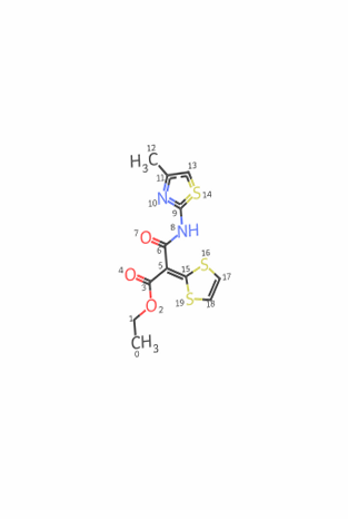 CCOC(=O)C(C(=O)Nc1nc(C)cs1)=C1SC=CS1